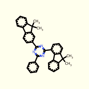 CC1(C)c2ccccc2-c2ccc(-c3nc(-c4ccccc4)nc(-c4cccc5c4-c4ccccc4C5(C)C)n3)cc21